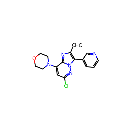 O=Cc1nc2c(N3CCOCC3)cc(Cl)nn2c1-c1cccnc1